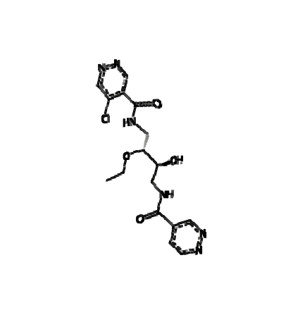 CCO[C@H](CNC(=O)c1cnncc1Cl)[C@@H](O)CNC(=O)c1ccnnc1